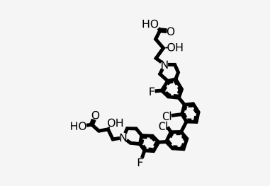 O=C(O)C[C@H](O)CN1CCc2cc(-c3cccc(-c4cccc(-c5cc(F)c6c(c5)CCN(C[C@@H](O)CC(=O)O)C6)c4Cl)c3Cl)cc(F)c2C1